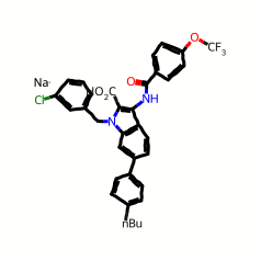 CCCCc1ccc(-c2ccc3c(NC(=O)c4ccc(OC(F)(F)F)cc4)c(C(=O)O)n(Cc4cccc(Cl)c4)c3c2)cc1.[Na]